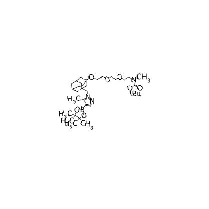 Cc1c(B2OC(C)(C)C(C)(C)O2)cnn1CC12CC3CC(C1)CC(OCCOCCOCCN(C)C(=O)OC(C)(C)C)(C3)C2